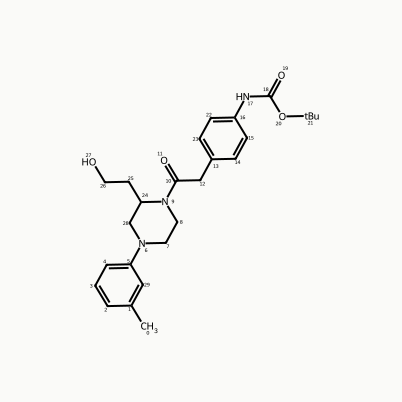 Cc1cccc(N2CCN(C(=O)Cc3ccc(NC(=O)OC(C)(C)C)cc3)C(CCO)C2)c1